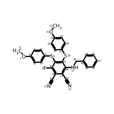 COc1ccc(Sc2c(F)c(C#N)c(C#N)c(NCc3ccccc3)c2Sc2ccc(OC)cc2)cc1